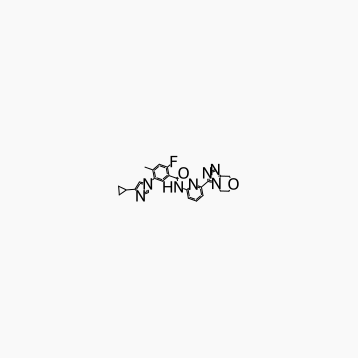 Cc1cc(F)c(C(=O)Nc2cccc(-c3nnc4n3CCOC4)n2)cc1-n1cnc(C2CC2)c1